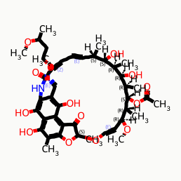 COC(C)CCO/N=C/c1c2c(O)c3c(O)c(C)c4c(c3c1O)C(=O)[C@@](C)(O/C=C/[C@H](OC)[C@@H](C)[C@@H](OC(C)=O)[C@H](C)[C@H](O)[C@H](C)[C@@H](O)[C@@H](C)/C=C/C=C(/C)C(=O)N2)O4